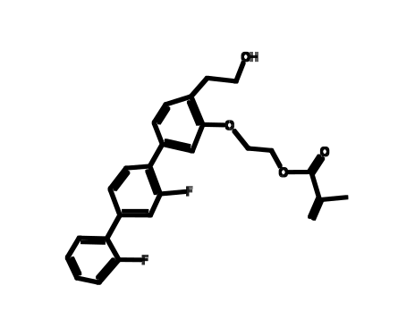 C=C(C)C(=O)OCCOc1cc(-c2ccc(-c3ccccc3F)cc2F)ccc1CCO